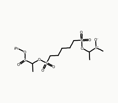 CC(C)OS(=O)C(C)OS(=O)(=O)CCCCCS(=O)(=O)OC(C)[S+](C)[O-]